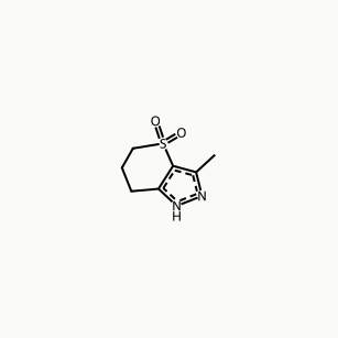 Cc1n[nH]c2c1S(=O)(=O)CCC2